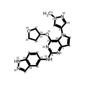 Cn1cc(-n2ccc3nc(Nc4ccc5[nH]ncc5c4)nc(O[C@H]4CCOC4)c32)cn1